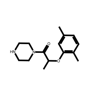 Cc1ccc(C)c(OC(C)C(=O)N2CCNCC2)c1